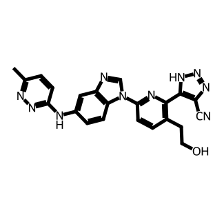 Cc1ccc(Nc2ccc3c(c2)ncn3-c2ccc(CCO)c(-c3[nH]nnc3C#N)n2)nn1